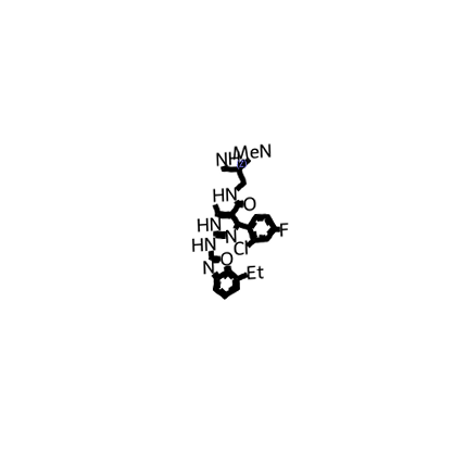 CCc1cccc2nc(NC3=NC(c4ccc(F)cc4Cl)C(C(=O)NC/C(C=N)=C/NC)=C(C)N3)oc12